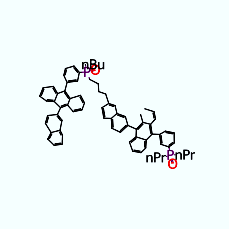 C/C=C\c1c(C)c(-c2ccc3ccc(CCCCP(=O)(CCCC)c4cccc(-c5c6ccccc6c(-c6ccc7ccccc7c6)c6ccccc56)c4)cc3c2)c2ccccc2c1-c1cccc(P(=O)(CCC)CCC)c1